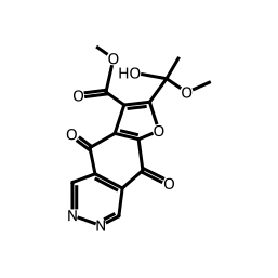 COC(=O)c1c(C(C)(O)OC)oc2c1C(=O)c1cnncc1C2=O